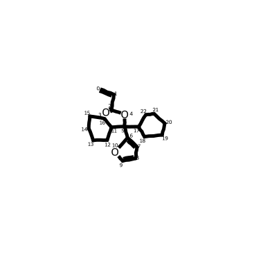 C=CC(=O)OC(c1ccco1)(C1CCCCC1)C1CCCCC1